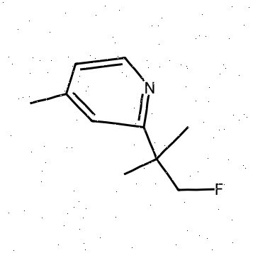 Cc1ccnc(C(C)(C)CF)c1